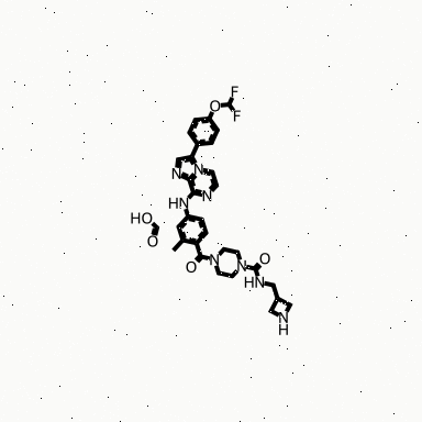 Cc1cc(Nc2nccn3c(-c4ccc(OC(F)F)cc4)cnc23)ccc1C(=O)N1CCN(C(=O)NCC2CNC2)CC1.O=CO